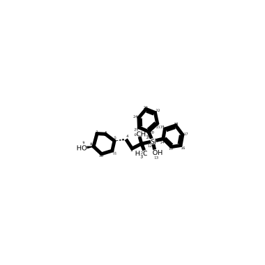 CC(C)(CC[C@H]1CC[C@H](O)CC1)[Si](O)(c1ccccc1)c1ccccc1